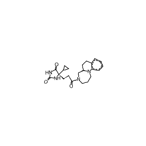 O=C1NC(=O)[C@](CCC(=O)N2CCCN3c4ccccc4CCC3C2)(C2CC2)N1